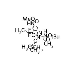 C=CC[C@H](NC(=O)OC(C)(C)C)c1nc(-c2ccc(NC(=O)OC)cc2C(=O)C(F)(F)CC=C)cn1COCC[Si](C)(C)C